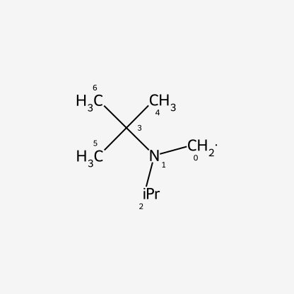 [CH2]N(C(C)C)C(C)(C)C